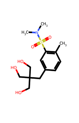 Cc1ccc(CC(CO)(CO)CO)cc1S(=O)(=O)N(C)C